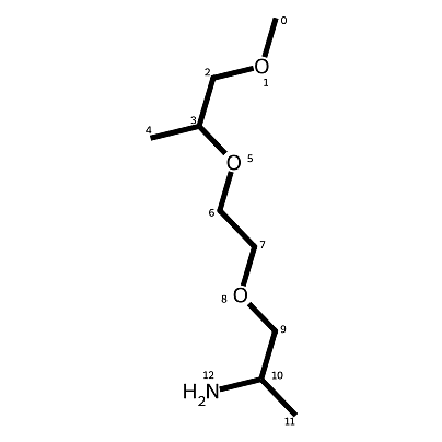 COCC(C)OCCOCC(C)N